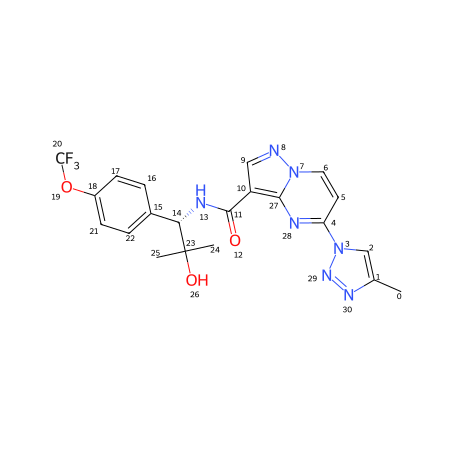 Cc1cn(-c2ccn3ncc(C(=O)N[C@@H](c4ccc(OC(F)(F)F)cc4)C(C)(C)O)c3n2)nn1